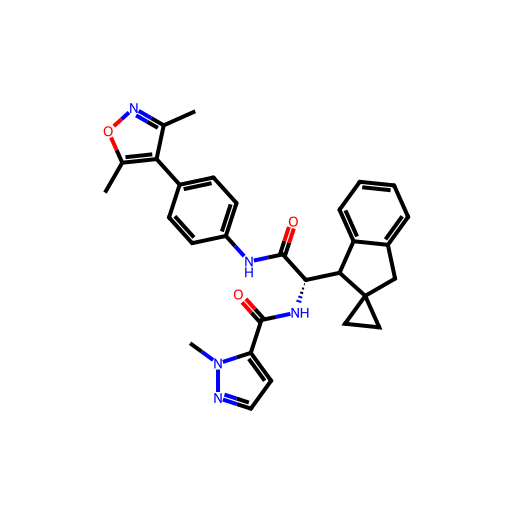 Cc1noc(C)c1-c1ccc(NC(=O)[C@@H](NC(=O)c2ccnn2C)C2c3ccccc3CC23CC3)cc1